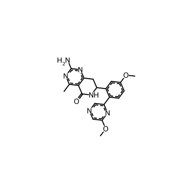 COc1ccc(-c2cncc(OC)n2)c(C2Cc3nc(N)nc(C)c3C(=O)N2)c1